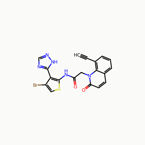 C#Cc1cccc2ccc(=O)n(CC(=O)Nc3scc(Br)c3-c3ncn[nH]3)c12